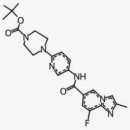 Cc1cn2cc(C(=O)Nc3ccc(N4CCN(C(=O)OC(C)(C)C)CC4)nc3)cc(F)c2n1